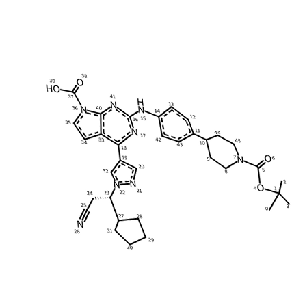 CC(C)(C)OC(=O)N1CCC(c2ccc(Nc3nc(-c4cnn([C@@H](CC#N)C5CCCC5)c4)c4ccn(C(=O)O)c4n3)cc2)CC1